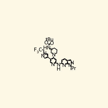 CC(C)n1ncc2ccc(Nc3cc(N4CCC[C@H](NC(=O)OC(C)(C)C)C4)c(-c4cnn(CC(F)(F)F)c4)cn3)nc21